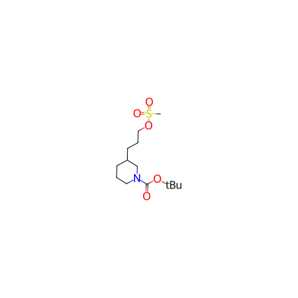 CC(C)(C)OC(=O)N1CCCC(CCCOS(C)(=O)=O)C1